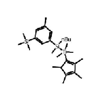 CCCC[Si](C)(c1cc(C)cc([Si](C)(C)C)c1)[Ti]([CH3])([CH3])([CH3])[C]1=C(C)C(C)=C(C)C1C